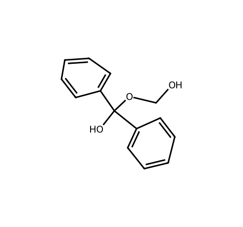 OCOC(O)(c1ccccc1)c1ccccc1